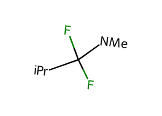 CNC(F)(F)C(C)C